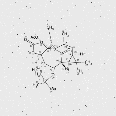 CC(=O)O[C@H]1C(C)=C[C@]23C(=O)[C@@H]([C@H](O[Si](C)(C)C(C)(C)C)[C@H](C)[C@H]4OC(=O)OC412)[C@H]1[C@@H](C[C@H]3C)C1(C)C